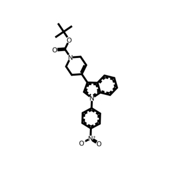 CC(C)(C)OC(=O)N1CC=C(c2cn(-c3ccc([N+](=O)[O-])cc3)c3ccccc23)CC1